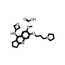 COc1cc2c(NC3COC3)c3c(nc2cc1OCCCN1CCCC1)CCC3.O=CO